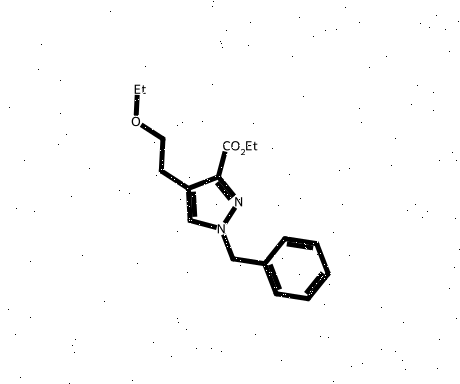 CCOCCc1cn(Cc2ccccc2)nc1C(=O)OCC